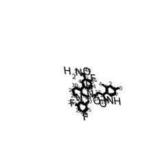 Cc1cc(C)c2c(c1)NC(=O)C2CC(=O)N[C@@H](Cc1cc(F)cc(F)c1)c1ncccc1-c1ccc(F)c(C(N)=O)c1